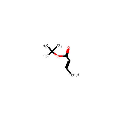 CC(OC(=O)C=CC(=O)O)(C(F)(F)F)C(F)(F)F